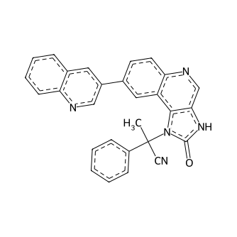 CC(C#N)(c1ccccc1)n1c(=O)[nH]c2cnc3ccc(-c4cnc5ccccc5c4)cc3c21